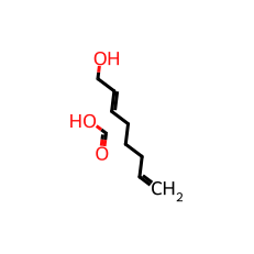 C=CCCCC=CCO.O=CO